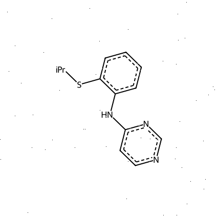 CC(C)Sc1ccccc1Nc1ccncn1